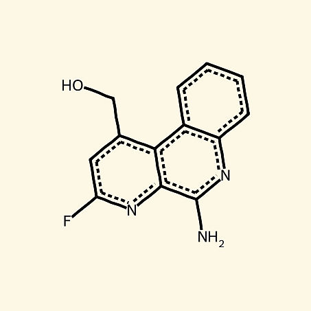 Nc1nc2ccccc2c2c(CO)cc(F)nc12